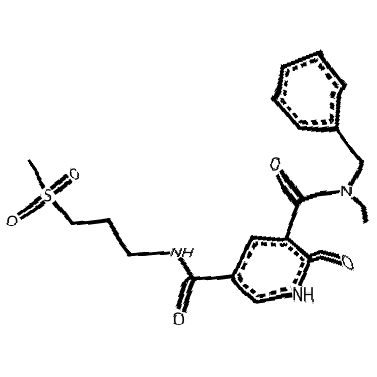 CN(Cc1ccccc1)C(=O)c1cc(C(=O)NCCCS(C)(=O)=O)c[nH]c1=O